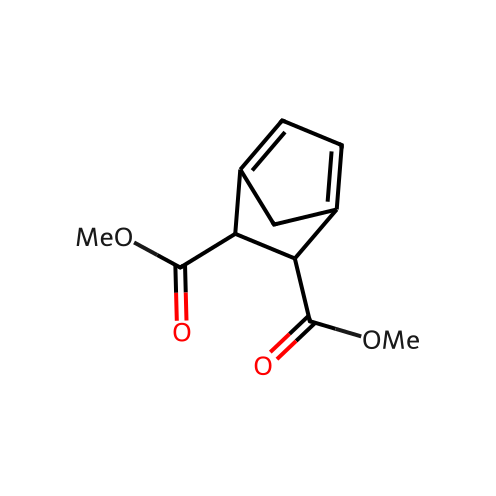 COC(=O)C1C2=CC=C(C2)C1C(=O)OC